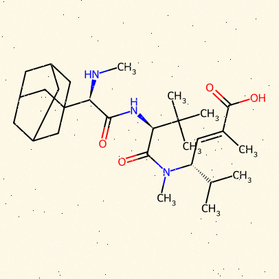 CN[C@@H](C(=O)N[C@H](C(=O)N(C)[C@H](C=C(C)C(=O)O)C(C)C)C(C)(C)C)C12CC3CC(CC(C3)C1)C2